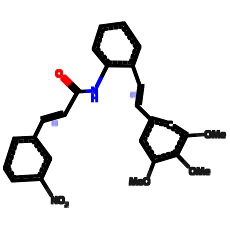 COc1cc(/C=C/c2ccccc2NC(=O)/C=C/c2cccc([N+](=O)[O-])c2)cc(OC)c1OC